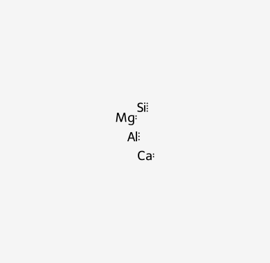 [Al].[Ca].[Mg].[Si]